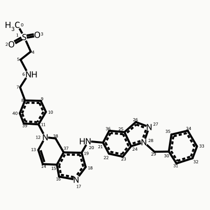 CS(=O)(=O)CCNCc1ccc(N2C=Cc3cncc(Nc4ccc5c(cnn5Cc5ccccc5)c4)c3C2)cc1